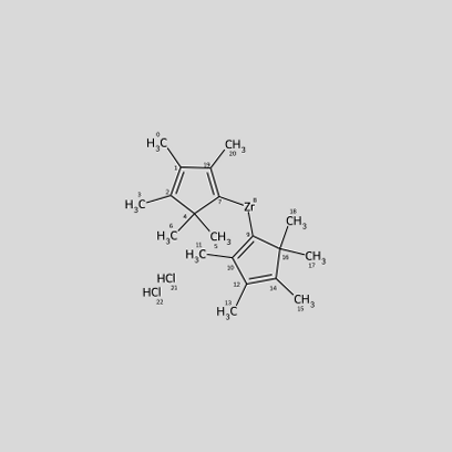 CC1=C(C)C(C)(C)[C]([Zr][C]2=C(C)C(C)=C(C)C2(C)C)=C1C.Cl.Cl